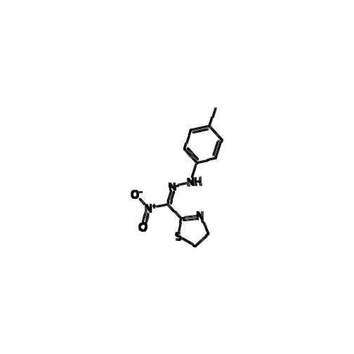 Cc1ccc(N/N=C(\C2=NCCS2)[N+](=O)[O-])cc1